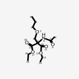 CCCOCC(NC(C)=O)(C(=O)OCC)C(=O)OCC